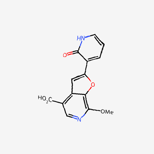 COc1ncc(C(=O)O)c2cc(-c3ccc[nH]c3=O)oc12